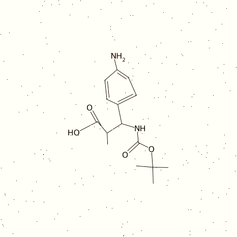 CC(C(=O)O)C(NC(=O)OC(C)(C)C)c1ccc(N)cc1